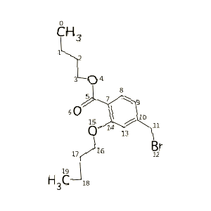 CCCCOC(=O)c1ccc(CBr)cc1OCCCC